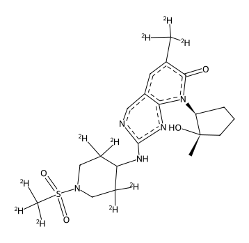 [2H]C([2H])([2H])c1cc2cnc(NC3C([2H])([2H])CN(S(=O)(=O)C([2H])([2H])[2H])CC3([2H])[2H])nc2n([C@H]2CCC[C@]2(C)O)c1=O